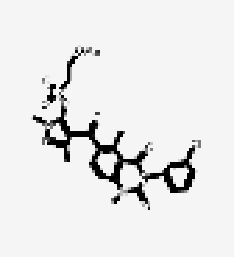 COCCS(=O)(=O)Oc1c(C(=O)c2ccc3c(c2C)c(=O)n(-c2cccc(Cl)c2)c(=O)n3C)c(C)nn1C